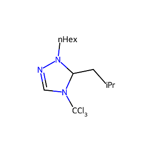 CCCCCCN1N=CN(C(Cl)(Cl)Cl)C1CC(C)C